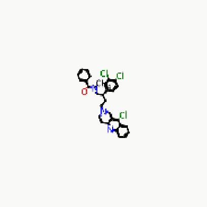 CN(CC(CCN1CCc2nc3ccccc3c(Cl)c2C1)c1ccc(Cl)c(Cl)c1)C(=O)c1ccccc1